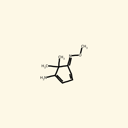 CON=C1C=CC=C(N)C1(C)C